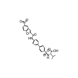 CC(C)[C@H](NS(=O)(=O)c1ccc(-c2ccc(NC(=O)c3cc4cc([N+](=O)[O-])ccc4o3)cc2)cc1)C(=O)O